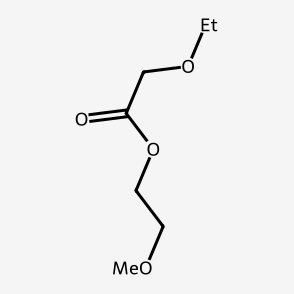 CCOCC(=O)OCCOC